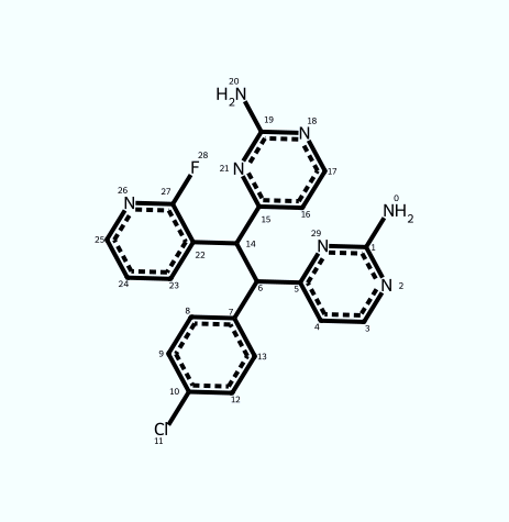 Nc1nccc(C(c2ccc(Cl)cc2)C(c2ccnc(N)n2)c2cccnc2F)n1